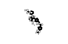 Nc1ncnc2c1c(-c1ccc(CNC(=O)c3ccc(OC(F)(F)F)cc3)cc1)nn2[C@@H]1CCCN(C(=O)O)C1